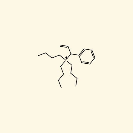 C=CC(c1ccccc1)[PH](CCCC)(CCCC)CCCC